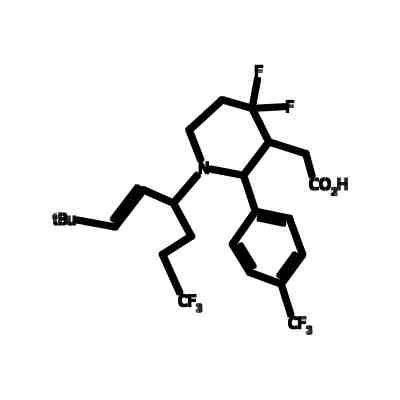 CC(C)(C)C=CC(CCC(F)(F)F)N1CCC(F)(F)C(CC(=O)O)C1c1ccc(C(F)(F)F)cc1